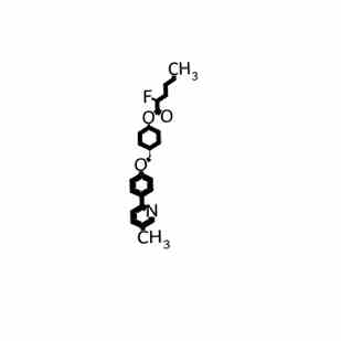 CCCC[C@H](F)C(=O)O[C@H]1CC[C@H](COc2ccc(-c3ccc(C)cn3)cc2)CC1